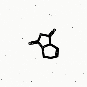 O=C1[N]C(=O)C2CCC=CC12